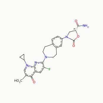 NC(=O)[C@H]1CN(c2ccc3c(c2)CCN(c2nc4c(cc2F)c(=O)c(C(=O)O)cn4C2CC2)CC3)C(=O)O1